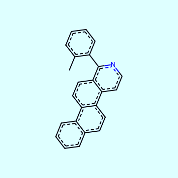 Cc1ccccc1-c1nccc2c1ccc1c3ccccc3ccc21